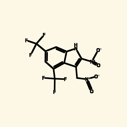 O=[N+]([O-])Cc1c([N+](=O)[O-])[nH]c2cc(C(F)(F)F)cc(C(F)(F)F)c12